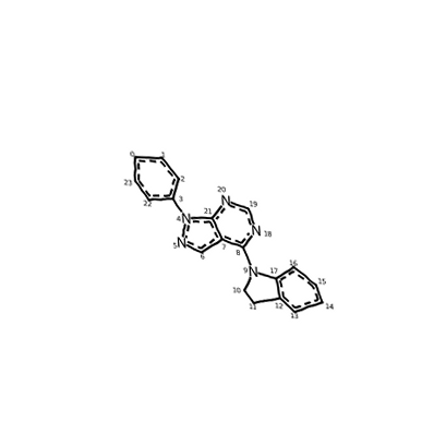 c1ccc(-n2ncc3c(N4CCc5ccccc54)ncnc32)cc1